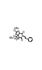 CCCCOC1=NC2(C(=O)OC(C)(C)C)C(=N1)C(=O)N(C=Cc1ccccc1)C(=O)N2N